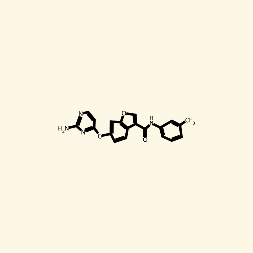 Nc1nccc(Oc2ccc3c(C(=O)Nc4cccc(C(F)(F)F)c4)coc3c2)n1